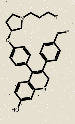 Oc1ccc2c(c1)SCC(c1ccc(CF)cc1)=C2c1ccc(O[C@H]2CCN(CCCF)C2)cc1